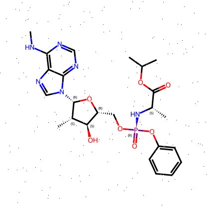 CNc1ncnc2c1ncn2[C@@H]1O[C@H](CO[P@](=O)(N[C@@H](C)C(=O)OC(C)C)Oc2ccccc2)[C@@H](O)[C@@H]1C